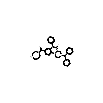 NC(=O)N(c1ccccc1)c1cc(C(=O)N2CCCNCC2)ccc1N1CCN(C(c2ccccc2)c2ccccc2)CC1